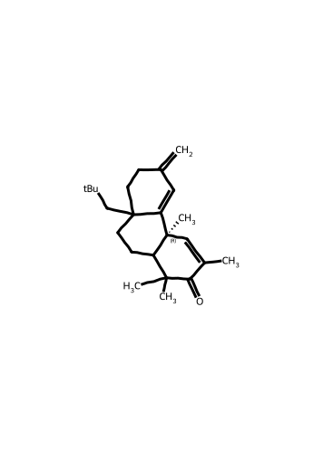 C=C1C=C2C(CC(C)(C)C)(CC1)CCC1C(C)(C)C(=O)C(C)=C[C@]21C